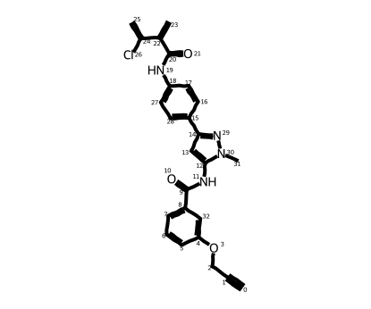 C#CCOc1cccc(C(=O)Nc2cc(-c3ccc(NC(=O)C(=C)C(=C)Cl)cc3)nn2C)c1